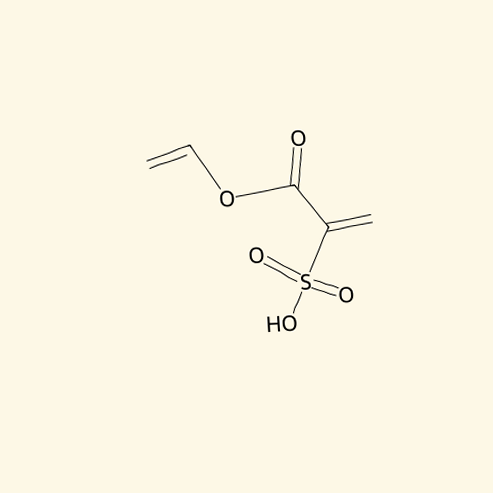 C=COC(=O)C(=C)S(=O)(=O)O